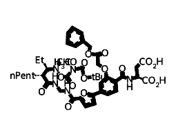 CCCCC[C@@H](C(=O)NCNC(=O)c1ccc(-c2ccc(C(=O)N[C@@H](CC(=O)O)C(=O)O)c(OCC(=O)OCc3ccccc3)c2)o1)[C@@H](CC)N(C=O)OC(=O)N(C)C(=O)OC(C)(C)C